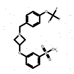 CS(=O)(=O)c1cc[c]c(OC2CN(Cc3ccc(OC(F)(F)F)cc3)C2)c1